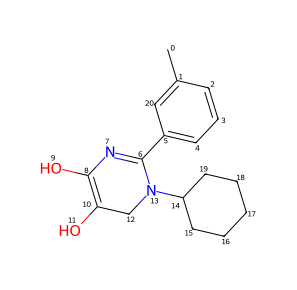 Cc1cccc(C2=NC(O)=C(O)CN2C2CCCCC2)c1